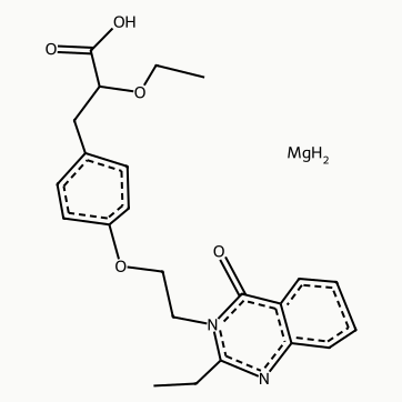 CCOC(Cc1ccc(OCCn2c(CC)nc3ccccc3c2=O)cc1)C(=O)O.[MgH2]